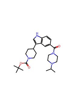 CC(C)N1CCN(C(=O)c2ccc3[nH]cc(C4CCN(C(=O)OC(C)(C)C)CC4)c3c2)CC1